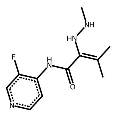 CNNC(C(=O)Nc1ccncc1F)=C(C)C